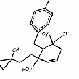 CC1(C(=O)O)CC=CC(CCC2(O)CC2)(C(=O)O)C1Cc1ccc(Cl)cc1